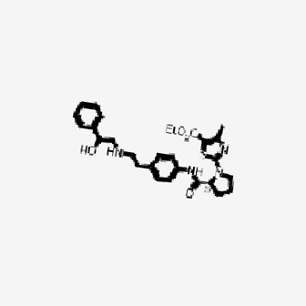 CCOC(=O)c1sc(N2CCC[C@H]2C(=O)Nc2ccc(CCNCC(O)c3ccccc3)cc2)nc1C